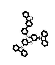 c1cc(-c2ccc3oc4ccccc4c3c2)cc(N2c3ccc(-n4c5ccccc5c5ccccc54)cc3Sc3cc(-n4c5ccccc5c5ccccc54)ccc32)c1